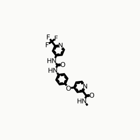 CNC(=O)c1cc(Oc2ccc(NC(=O)Nc3ccnc(C(F)(F)F)c3)cc2)ccn1